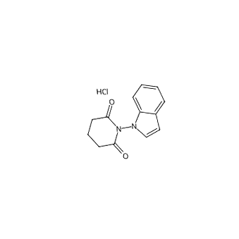 Cl.O=C1CCCC(=O)N1n1ccc2ccccc21